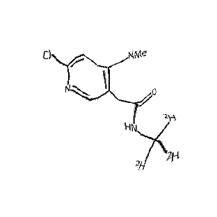 [2H]C([2H])([2H])NC(=O)c1cnc(Cl)cc1NC